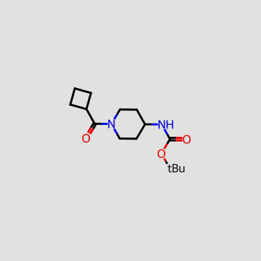 CC(C)(C)OC(=O)NC1CCN(C(=O)C2CCC2)CC1